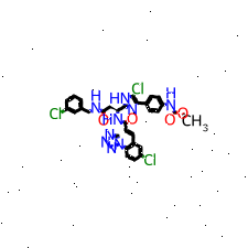 COC(=O)Nc1ccc(-c2nc([C@H](CC(=O)NCc3cccc(Cl)c3)NC(=O)/C=C/c3cc(Cl)ccc3-n3cnnn3)[nH]c2Cl)cc1